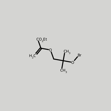 C=C(OCC(C)(C)OBr)C(=O)OCC